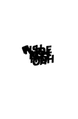 O[C@@H]1[C@H]2N=C(N3CCC3)S[C@H]2OC(C(F)F)[C@H]1O